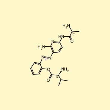 CC(C)[C@H](N)C(=O)Oc1ccccc1/N=N/c1ccc(NC(=O)[C@H](C)N)nc1N